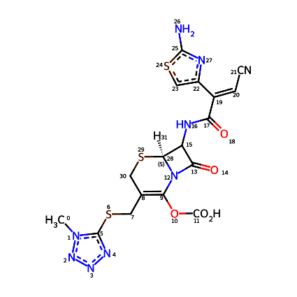 Cn1nnnc1SCC1=C(OC(=O)O)N2C(=O)C(NC(=O)C(=CC#N)c3csc(N)n3)[C@@H]2SC1